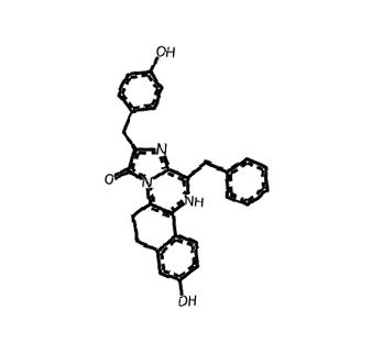 O=c1c(Cc2ccc(O)cc2)nc2c(Cc3ccccc3)[nH]c3c(n1-2)CCc1cc(O)ccc1-3